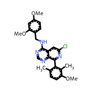 COc1ccc(CNc2ncnc3c(-c4c(C)ccc(OC)c4C)nc(Cl)cc23)c(OC)c1